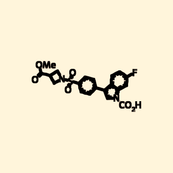 COC(=O)C1CN(S(=O)(=O)c2ccc(-c3cn(C(=O)O)c4cc(F)ccc34)cc2)C1